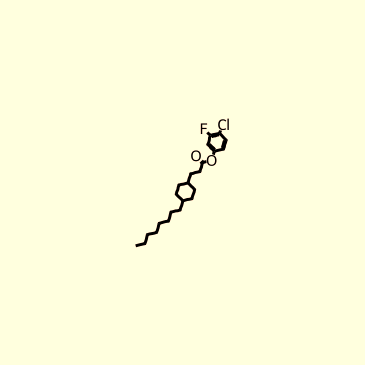 CCCCCCCCC1CCC(CCC(=O)Oc2ccc(Cl)c(F)c2)CC1